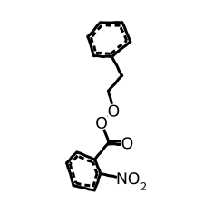 O=C(OOCCc1ccccc1)c1ccccc1[N+](=O)[O-]